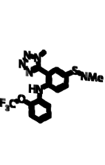 CNSc1ccc(Nc2ccccc2OC(F)(F)F)c(-c2nnnn2C)c1